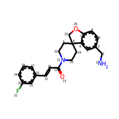 NCc1ccc2c(c1)C1(CCN(C(=O)C=Cc3cccc(F)c3)CC1)CO2